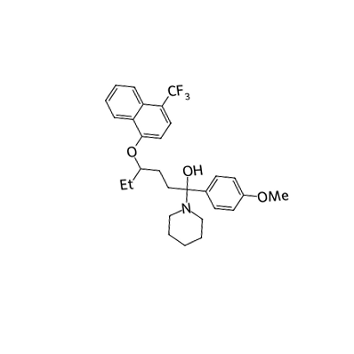 CCC(CCC(O)(c1ccc(OC)cc1)N1CCCCC1)Oc1ccc(C(F)(F)F)c2ccccc12